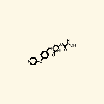 O=C(NO)O[C@@H]1CN(Cc2ccc(Oc3ccncc3)cc2)C(=O)N1